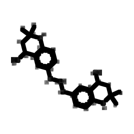 CC1(C)CC(O)c2cc(OBOc3ccc4c(c3)C(O)CC(C)(C)O4)ccc2O1